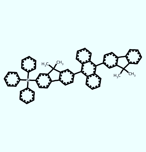 CC1(C)c2ccccc2-c2ccc(-c3c4ccccc4c(-c4ccc5c(c4)C(C)(C)c4cc([Si](c6ccccc6)(c6ccccc6)c6ccccc6)ccc4-5)c4ccccc34)cc21